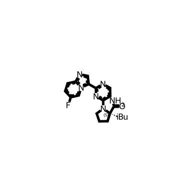 CCC(C)[C@]1(C(N)=O)CCCN1c1ccnc(-c2cnc3ccc(F)cn23)n1